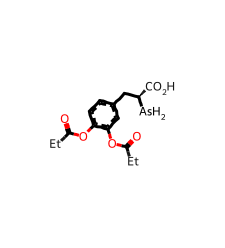 CCC(=O)Oc1ccc(C[C@H]([AsH2])C(=O)O)cc1OC(=O)CC